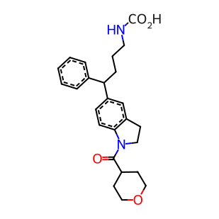 O=C(O)NCCCC(c1ccccc1)c1ccc2c(c1)CCN2C(=O)C1CCOCC1